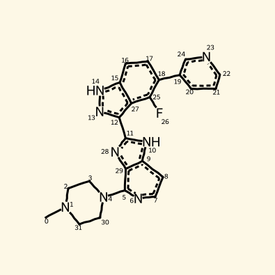 CN1CCN(c2nccc3[nH]c(-c4n[nH]c5ccc(-c6cccnc6)c(F)c45)nc23)CC1